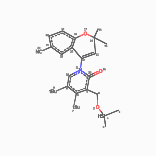 C[SiH](C)OCc1c(C(C)(C)C)c(C(C)(C)C)cn(C2=CC(C)(C)Oc3ccc(C#N)cc32)c1=O